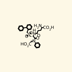 NC(CCC(=O)N[C@@H](CS(=O)(=O)Cc1ccccc1-c1ccccc1)C(=O)N(CC(=O)O)c1ccccc1)C(=O)O